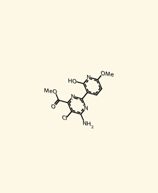 COC(=O)c1nc(-c2ccc(OC)nc2O)nc(N)c1Cl